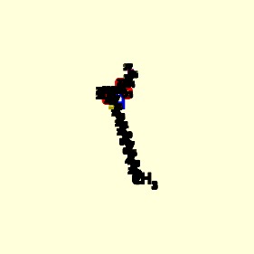 CCCCCCCCCCCCCCCCSCC1(CNS(=O)(=O)CCCI)CCCO1